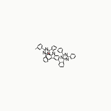 Cc1cccc(-c2nc(-c3ccccc3)nc(-c3ccccc3-n3c4ccccc4c4cc(-c5ccccc5-c5nc(-c6ccccc6)nc(-c6ccccc6)n5)ccc43)n2)c1